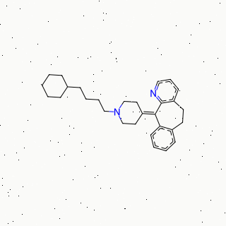 c1ccc2c(c1)CCc1cccnc1C2=C1CCN(CCCCC2CCCCC2)CC1